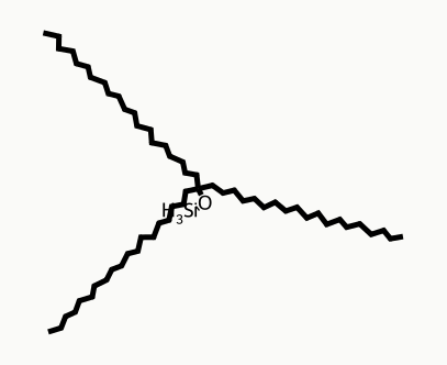 CCCCCCCCCCCCCCCCCCCCC(CCCCCCCCCCCCCCCCCCC)(CCCCCCCCCCCCCCCCCCC)O[SiH3]